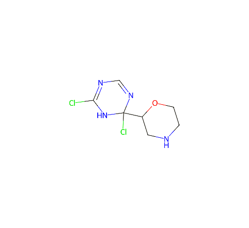 ClC1=NC=NC(Cl)(C2CNCCO2)N1